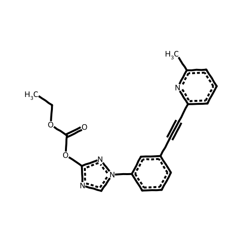 CCOC(=O)Oc1ncn(-c2cccc(C#Cc3cccc(C)n3)c2)n1